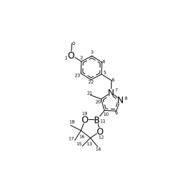 COc1ccc(Cn2ncc(B3OC(C)(C)C(C)(C)O3)c2C)cc1